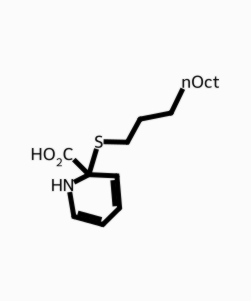 CCCCCCCCCCCSC1(C(=O)O)C=CC=CN1